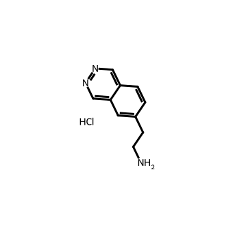 Cl.NCCc1ccc2cnncc2c1